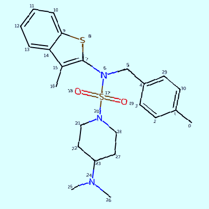 Cc1ccc(CN(c2sc3ccccc3c2C)S(=O)(=O)N2CCC(N(C)C)CC2)cc1